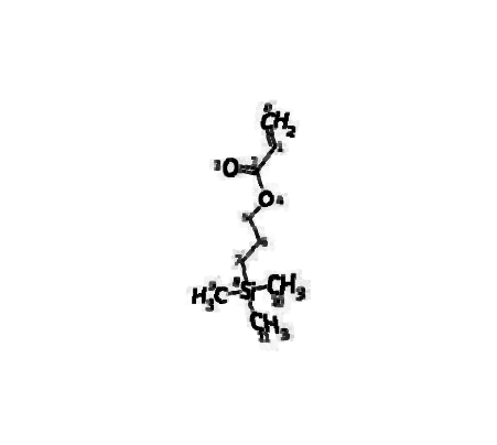 C=CC(=O)OCCC[Si](C)(C)C